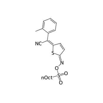 CCCCCCCCS(=O)(=O)ON=C1C=CC(=C(C#N)c2ccccc2C)S1